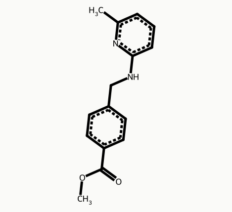 COC(=O)c1ccc(CNc2cccc(C)n2)cc1